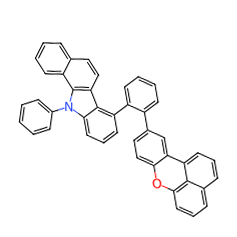 c1ccc(-n2c3cccc(-c4ccccc4-c4ccc5c(c4)-c4cccc6cccc(c46)O5)c3c3ccc4ccccc4c32)cc1